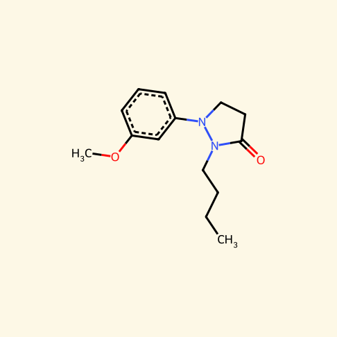 CCCCN1C(=O)CCN1c1cccc(OC)c1